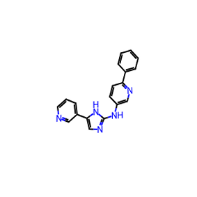 c1ccc(-c2ccc(Nc3ncc(-c4cccnc4)[nH]3)cn2)cc1